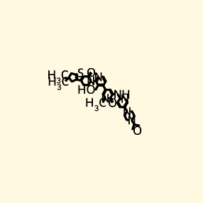 Cn1cc(-c2ccnc(N3CCc4c(sc5c4CC(C)(C)C5)C3=O)c2CO)cc(Nc2ccc(N3CCN(C4COC4)CC3)cn2)c1=O